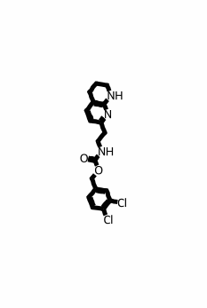 O=C(NCCc1ccc2c(n1)NCCC2)OCc1ccc(Cl)c(Cl)c1